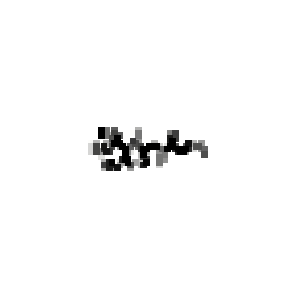 C=CC(=O)NCC(=O)N[C@H](C(=O)O)C(C)C